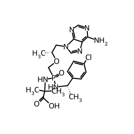 C[C@H](Cn1cnc2c(N)ncnc21)OCP(=O)(N[C@@H](C)c1ccc(Cl)cc1)NC(C)(C)C(=O)O